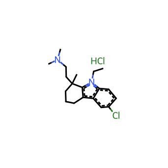 CCn1c2c(c3cc(Cl)ccc31)CCCC2(C)CCN(C)C.Cl